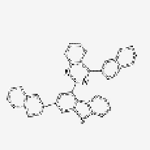 c1ccc2cc(-c3cc(-c4nc(-c5ccc6ccccc6c5)c5ccccc5n4)c4c(c3)sc3ccccc34)ccc2c1